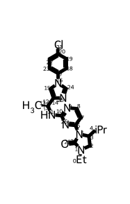 CCN1CC(C(C)C)N(c2ccnc(N[C@@H](C)c3cn(-c4ccc(Cl)cc4)cn3)n2)C1=O